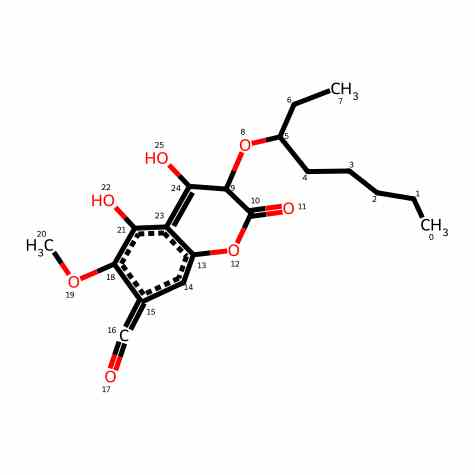 CCCCCC(CC)OC1C(=O)Oc2cc(=C=O)c(OC)c(O)c2=C1O